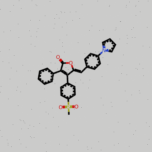 CS(=O)(=O)c1ccc(C2=C(c3ccccc3)C(=O)O/C2=C\c2ccc(-n3cccc3)cc2)cc1